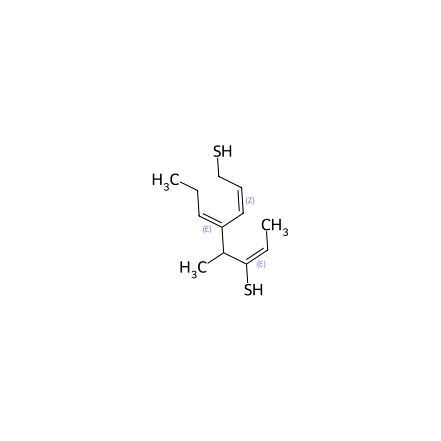 C/C=C(/S)C(C)C(/C=C\CS)=C/CC